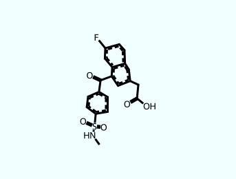 CNS(=O)(=O)c1ccc(C(=O)c2cc(CC(=O)O)cc3ccc(F)cc23)cc1